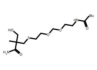 CCC(C)C(=O)NCCOCOCCSCC(C)(CO)C(N)=O